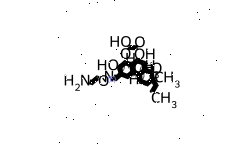 CCC[C@@]1(C)CC[C@H]2[C@@H](CC[C@@H]3C[C@@H](O)C(/C=N/OCCN)C[C@@]32C)C1=O.O=C(O)C(=O)O